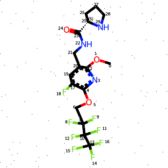 COc1nc(OCC(F)(F)C(F)(F)C(F)(F)F)c(F)cc1CNC(=O)[C@@H]1CCCN1